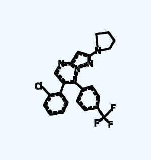 FC(F)(F)c1ccc(-c2c(-c3ccccc3Cl)cnc3cc(N4CCCC4)nn23)cc1